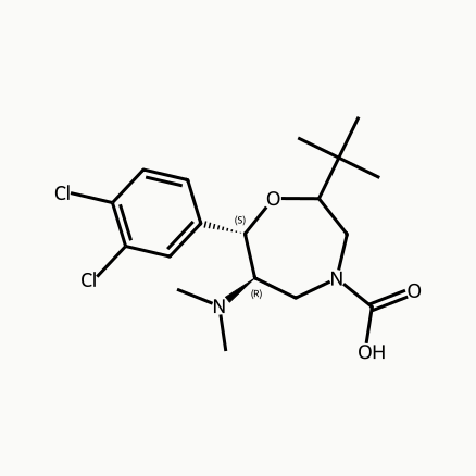 CN(C)[C@@H]1CN(C(=O)O)CC(C(C)(C)C)O[C@H]1c1ccc(Cl)c(Cl)c1